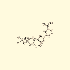 O=C(O)c1cccc(-c2cc3n(n2)-c2ccc(OC(F)(F)F)cc2CO3)c1